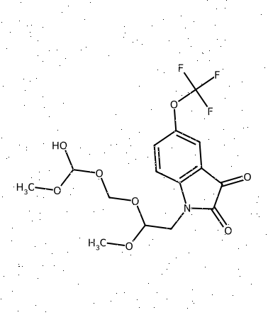 COC(O)OCOC(CN1C(=O)C(=O)c2cc(OC(F)(F)F)ccc21)OC